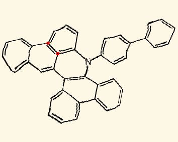 c1ccc(-c2ccc(N(c3ccccc3)c3c(-c4ccc5ccccc5c4)c4ccccc4c4ccccc34)cc2)cc1